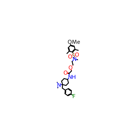 COc1cc(C)c(S(=O)(=O)N(C)CCOCC(=O)NC2CCC(Cc3ccc(F)cc3)(N(C)C)CC2)c(C)c1